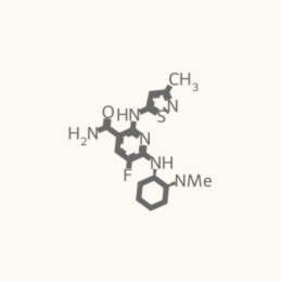 CN[C@H]1CCCC[C@H]1Nc1nc(Nc2cc(C)ns2)c(C(N)=O)cc1F